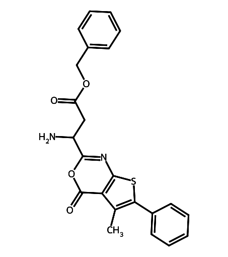 Cc1c(-c2ccccc2)sc2nc(C(N)CC(=O)OCc3ccccc3)oc(=O)c12